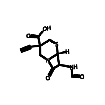 C#CC1(C(=O)O)CS[C@@H]2C(NC=O)C(=O)N2C1